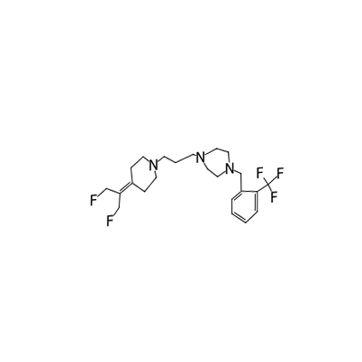 FCC(CF)=C1CCN(CCCN2CCN(Cc3ccccc3C(F)(F)F)CC2)CC1